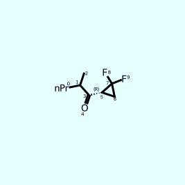 CCCC(C)C(=O)[C@H]1CC1(F)F